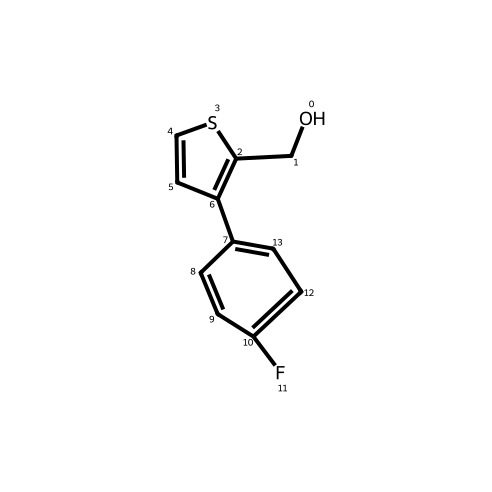 OCc1sccc1-c1ccc(F)cc1